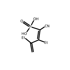 C=C(CC)C(CC)=C(C#N)P(=O)(O)O